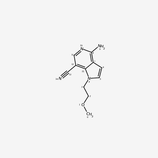 COCCn1ccc2c(N)ncc(C#N)c21